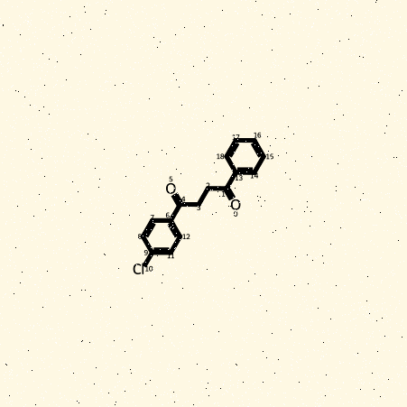 O=C(CCC(=O)c1ccc(Cl)cc1)c1ccccc1